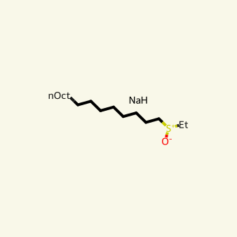 [CH2]C[S+]([O-])CCCCCCCCCCCCCCCC.[NaH]